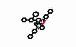 C1=CCC=C(c2cc(-c3ccccc3)ccc2-c2ccc3c(c2)C2(c4ccccc4N(c4ccc(-c5ccccc5)cc4)c4ccccc42)c2ccccc2N3c2ccc(-c3ccccc3)cc2)C=C1